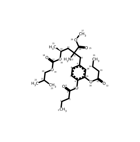 CCCC(=O)Oc1ccc(CC(N)(C[C@H](C)OC(=O)OCC(C)C)C(=O)OC)cc1OC(=O)CCC